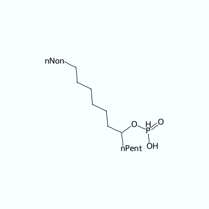 CCCCCCCCCCCCCCCC(CCCCC)O[PH](=O)O